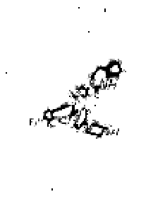 O=C(O[C@H](Cc1ccc(C(F)(F)F)c(Br)c1)C(=O)N1CCC(N2CCNCC2)CC1)N1CCC(N2CCc3ccccc3NC2=O)CC1